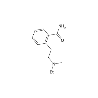 CCN(C)CCc1ccc[c]c1C(N)=O